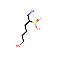 NCC(CCCCO)S(=O)O